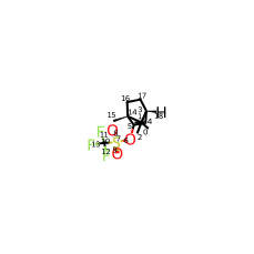 CC1(C)[C@H]2C=C(OS(=O)(=O)C(F)(F)F)[C@]1(C)CC2